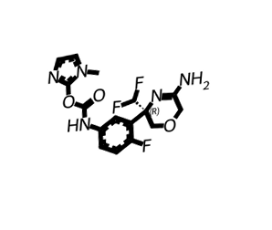 Cn1ccnc1OC(=O)Nc1ccc(F)c([C@]2(C(F)F)COCC(N)=N2)c1